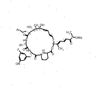 CON(C)C(=O)/C=C/C=C(\C)[C@@H]1C/C=C/C=C/[C@H](O)[C@H](C)[C@@H](O)[C@@H](CCC(C)=O)C(=O)N[C@@H](C(C)C)C(=O)N[C@@H](Cc2cc(F)cc(N=O)c2)C(=O)N2CCCC(N2)C(=O)O1